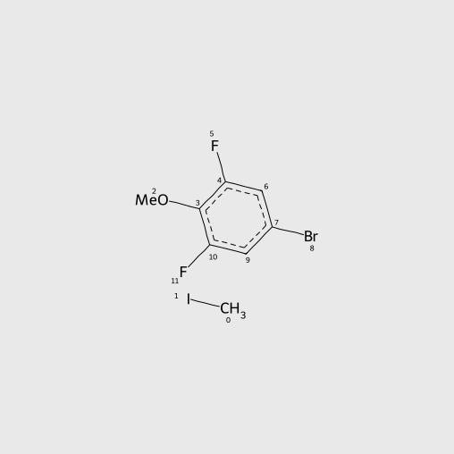 CI.COc1c(F)cc(Br)cc1F